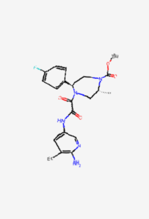 CCc1cc(NC(=O)C(=O)N2C[C@@H](C)N(C(=O)OC(C)(C)C)C[C@@H]2c2ccc(F)cc2)cnc1N